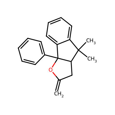 C=C1CC2C(C)(C)c3ccccc3C2(c2ccccc2)O1